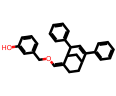 Oc1cccc(COC=C2CCC3CC2C(c2ccccc2)C=C3c2ccccc2)c1